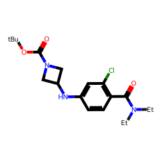 CCN(CC)C(=O)c1ccc(NC2CN(C(=O)OC(C)(C)C)C2)cc1Cl